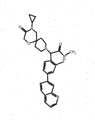 CNC(=O)C(c1ccc(-c2ccc3cccnc3c2)cc1F)N1CCC2(CC1)CN(C1CC1)C(=O)CO2